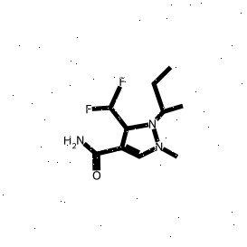 CCC(C)N1C(C(F)F)C(C(N)=O)=CN1C